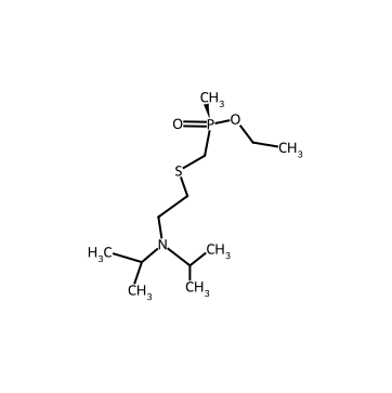 CCO[P@@](C)(=O)CSCCN(C(C)C)C(C)C